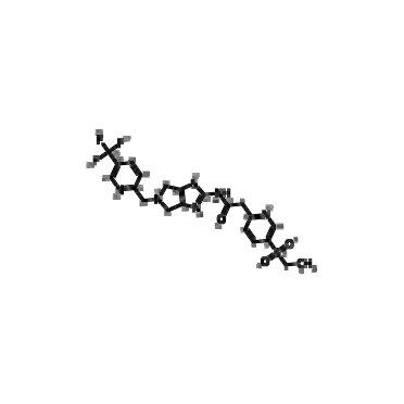 CCS(=O)(=O)c1ccc(CC(=O)Nc2nc3c(s2)CN(Cc2ccc(C(F)(F)F)cn2)C3)nc1